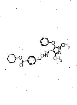 Cc1nn(C)c(Oc2ccccc2)c1/C=N/OCc1ccc(C(=O)OC2CCCCC2)cc1